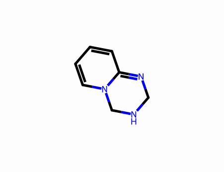 C1=CC2=NCNCN2C=C1